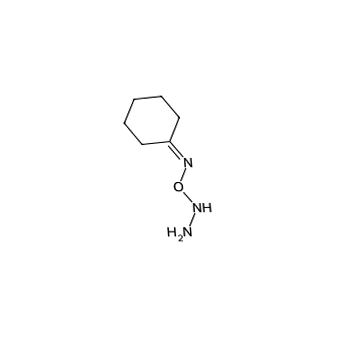 NNON=C1CCCCC1